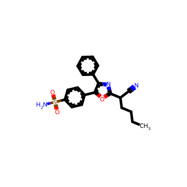 CCCCC(C#N)c1nc(-c2ccccc2)c(-c2ccc(S(N)(=O)=O)cc2)o1